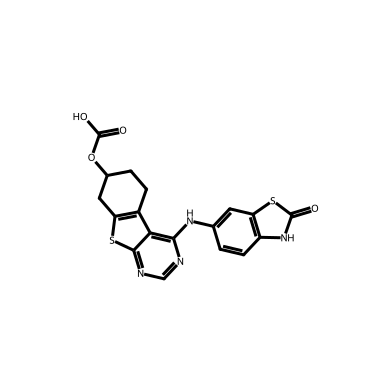 O=C(O)OC1CCc2c(sc3ncnc(Nc4ccc5[nH]c(=O)sc5c4)c23)C1